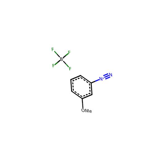 COc1cccc([N+]#N)c1.F[B-](F)(F)F